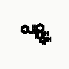 c1ccc(CNC2=Nc3cn[nH]c3NC23CCCCC3)cc1